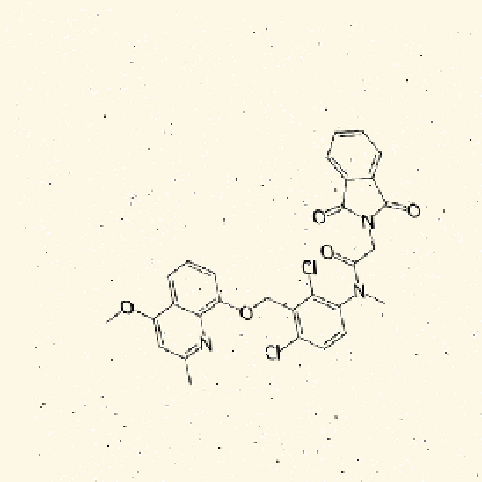 COc1cc(C)nc2c(OCc3c(Cl)ccc(N(C)C(=O)CN4C(=O)c5ccccc5C4=O)c3Cl)cccc12